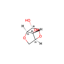 O[C@H]1[C@H]2OC[C@@H]1O[CH][C@H]2O